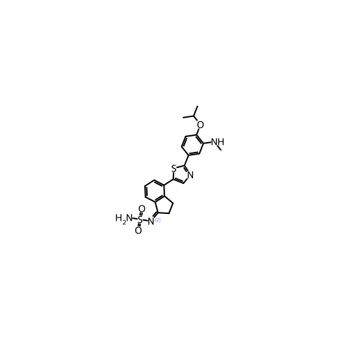 CNc1cc(-c2ncc(-c3cccc4c3CC/C4=N/S(N)(=O)=O)s2)ccc1OC(C)C